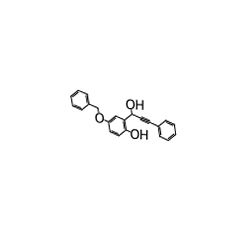 Oc1ccc(OCc2ccccc2)cc1C(O)C#Cc1ccccc1